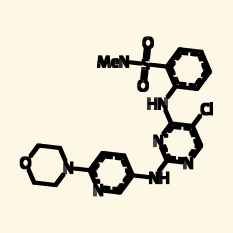 CNS(=O)(=O)c1ccccc1Nc1nc(Nc2ccc(N3CCOCC3)nc2)ncc1Cl